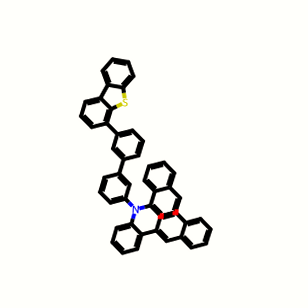 c1cc(-c2cccc(N(c3ccccc3-c3ccc4ccccc4c3)c3cccc4ccccc34)c2)cc(-c2cccc3c2sc2ccccc23)c1